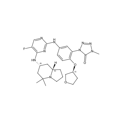 Cn1nnn(-c2cc(Nc3ncc(F)c(N[C@@H]4C[C@@H]5CCCN5C(C)(C)C4)n3)ccc2O[C@H]2CCOC2)c1=O